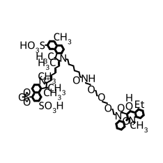 CCc1cccc2c1c(O)c(C(=O)N(CCOCCOCCOCCNC(=O)CCCCCN1/C(=C/C=C/C=C/C3=[N+](C)c4ccc5c(S(=O)(=O)[O-])cc(S(=O)(=O)O)cc5c4C3(C)C)C(C)(C)c3c1ccc1c(C)cc(S(=O)(=O)O)cc31)c1ccccc1)c(=O)n2C